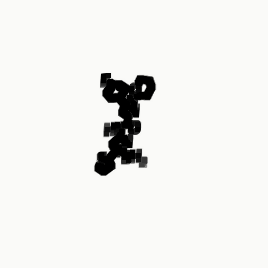 Bn1nc(NC(=O)c2cc(-c3ccc(F)cc3)n(C3CCCCO3)n2)cc1-c1cccs1